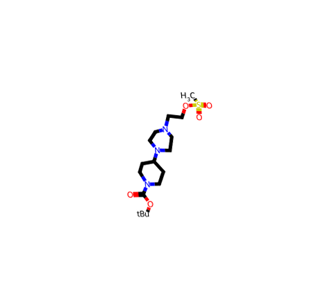 CC(C)(C)OC(=O)N1CCC(N2CCN(CCOS(C)(=O)=O)CC2)CC1